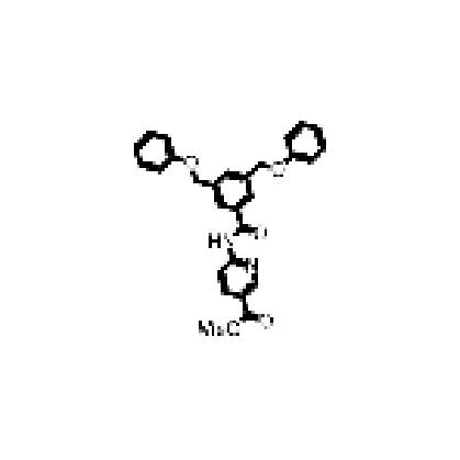 COC(=O)c1ccc(NC(=O)c2cc(COc3ccccc3)cc(COc3ccccc3)c2)nc1